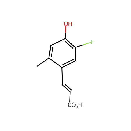 Cc1cc(O)c(F)cc1/C=C/C(=O)O